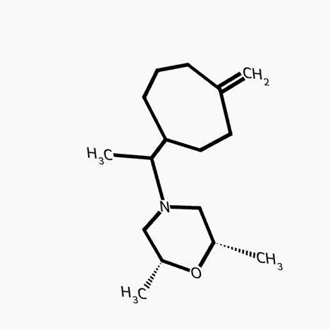 C=C1CCCC(C(C)N2C[C@@H](C)O[C@@H](C)C2)CC1